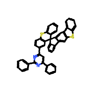 c1ccc(-c2cc(-c3ccc4c(c3)C3(c5ccccc5S4)c4ccccc4-c4cc5sc6ccccc6c5cc43)nc(-c3ccccc3)n2)cc1